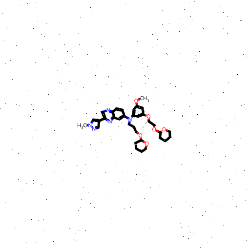 COc1cc(OCCOC2CCCCO2)cc(N(CCCOC2CCCCO2)c2ccc3ncc(-c4cnn(C)c4)nc3c2)c1